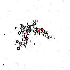 CCC(=O)N[C@@H](Cc1ccccc1)C(=O)N[C@H](C(=O)N[C@@H](CCC(=O)O)C(=O)N(C)CC(=O)N[C@@H](Cc1ccc(O)cc1)C(=O)N(C)[C@@H](Cc1ccccc1)C(=O)N(C)CC(=O)N[C@@H](CCCNC(=N)N)C(=O)N[C@@H](C)C(=O)N[C@@H](Cc1ccc(O)cc1)C(=O)N[C@@H](Cc1c[nH]c2ccccc12)C(=O)N[C@H](C(=O)N(C)[C@@H](Cc1ccccc1)C(=O)N1CCC[C@H]1C(=O)N[C@@H](CS)C(=O)NCC(N)=O)[C@@H](C)O)C(C)C